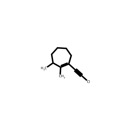 CC1=C(C#CCl)CCCCC1C